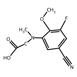 COc1c(F)cc(C#N)cc1N(C)CC(=O)O